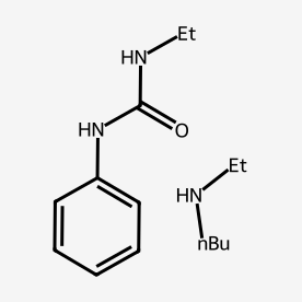 CCCCNCC.CCNC(=O)Nc1ccccc1